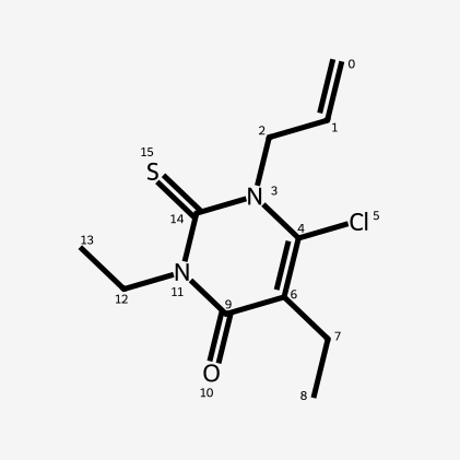 C=CCn1c(Cl)c(CC)c(=O)n(CC)c1=S